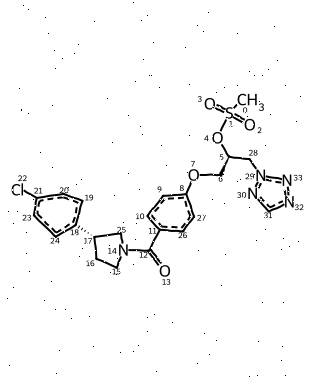 CS(=O)(=O)O[C@H](COc1ccc(C(=O)N2CC[C@H](c3ccc(Cl)cc3)C2)cc1)Cn1ncnn1